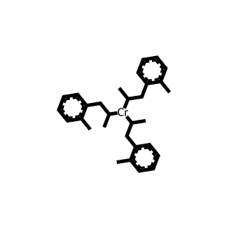 Cc1ccccc1C[CH](C)[Cr]([CH](C)Cc1ccccc1C)[CH](C)Cc1ccccc1C